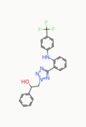 OC(Cn1nnc(-c2ccccc2Nc2ccc(C(F)(F)F)cc2)n1)c1ccccc1